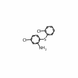 Nc1cc(Cl)ccc1Sc1ccccc1Cl